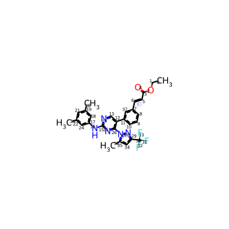 CCOC(=O)/C=C/c1cccc(-c2cnc(Nc3cc(C)cc(C)c3)nc2-n2nc(C(F)(F)F)cc2C)c1